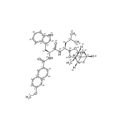 COc1ccc2cc(C(=O)N[C@@H](Cc3c[nH]c4ccccc34)C(=O)N[C@@H](CC(C)C)B3O[C@@H]4C[C@@H]5C[C@@H](C5(C)C)[C@]4(C)O3)ccc2c1